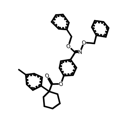 Cc1ccc(C2(C(=O)Oc3ccc(C(=NOCc4ccccc4)OCc4ccccc4)cc3)CCCCC2)cc1